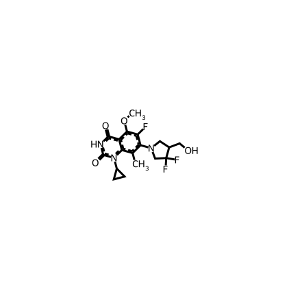 COc1c(F)c(N2CC(CO)C(F)(F)C2)c(C)c2c1c(=O)[nH]c(=O)n2C1CC1